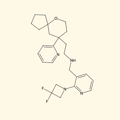 FC1(F)CN(c2ncccc2CNCCC2(c3ccccn3)CCOC3(CCCC3)C2)C1